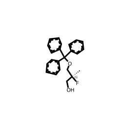 C[C@](F)(CO)COC(c1ccccc1)(c1ccccc1)c1ccccc1